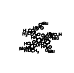 CN[C@@H]1[C@@H](O)[C@@H](O[C@@H]2[C@@H](O)[C@H](O[C@H]3O[C@H](CN(C(=O)O)C(C)(C)C)CC[C@H]3NC(=O)OC(C)(C)C)[C@@H](NC(=O)OC(C)(C)C)C[C@H]2NC(=O)[C@H]2OC(C)(C)O[C@@H]2CNC(=O)OC(C)(C)C)OC[C@]1(C)O